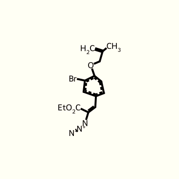 C=C(C)COc1ccc(/C=C(/N=[N+]=[N-])C(=O)OCC)cc1Br